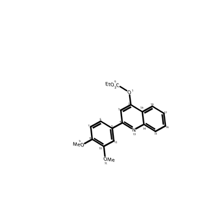 CCOC(=O)Oc1cc(-c2ccc(OC)c(OC)c2)nc2ccccc12